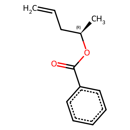 C=CC[C@@H](C)OC(=O)c1ccccc1